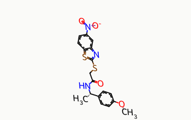 COc1ccc([C@H](C)NC(=O)CSc2nc3cc([N+](=O)[O-])ccc3s2)cc1